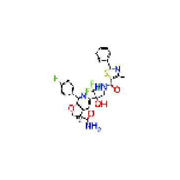 Cc1nc(-c2ccccc2)sc1C(=O)NCC(O)(c1cc2c(c(-c3ccc(F)cc3)n1)OC[C@]2(C)C(N)=O)C(F)(F)F